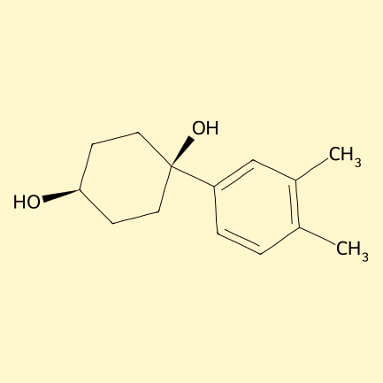 Cc1ccc([C@]2(O)CC[C@@H](O)CC2)cc1C